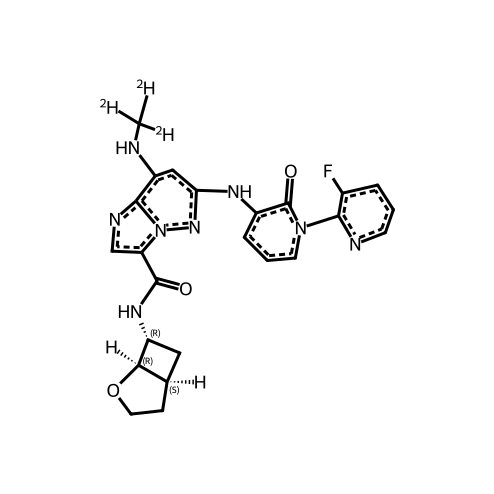 [2H]C([2H])([2H])Nc1cc(Nc2cccn(-c3ncccc3F)c2=O)nn2c(C(=O)N[C@@H]3C[C@H]4CCO[C@H]43)cnc12